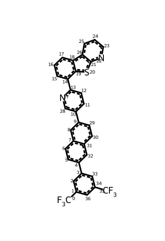 FC(F)(F)c1cc(-c2ccc3cc(-c4ccc(-c5cccc6c5sc5ncccc56)nc4)ccc3c2)cc(C(F)(F)F)c1